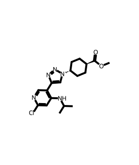 COC(=O)[C@H]1CC[C@H](n2cc(-c3cnc(Cl)cc3NC(C)C)nn2)CC1